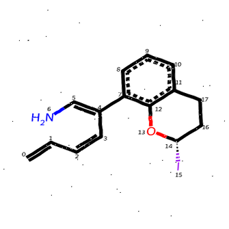 C=C/C=C\C(=C/N)c1cccc2c1O[C@@H](I)CC2